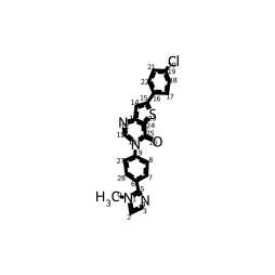 Cn1ccnc1-c1ccc(-n2cnc3cc(-c4ccc(Cl)cc4)sc3c2=O)cc1